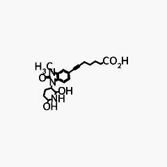 Cn1c(=O)n(C2CCC(O)NC2O)c2ccc(C#CCCCCC(=O)O)cc21